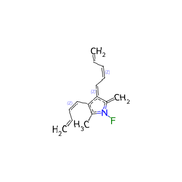 C=C/C=C\C=c1\c(/C=C\C=C)c(C)n(F)c1=C